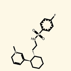 CN1C=C([C@@H]2CCCC[C@H]2CCNS(=O)(=O)c2ccc(F)cc2)C=CC1